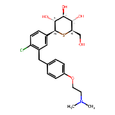 CN(C)CCOc1ccc(Cc2cc([C@@H]3S[C@H](CO)[C@@H](O)[C@H](O)[C@H]3O)ccc2Cl)cc1